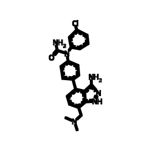 CN(C)Cc1ccc(-c2ccc(N(C(N)=O)c3cccc(Cl)c3)cc2)c2c(N)n[nH]c12